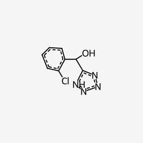 OC(c1nnn[nH]1)c1ccccc1Cl